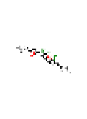 C=CCCc1ccc2c(c1F)Oc1c(cc(CCC3CCC(CCC)OC3)c(F)c1F)C2